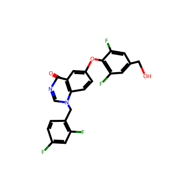 O=c1ncn(Cc2ccc(F)cc2F)c2ccc(Oc3c(F)cc(CO)cc3F)cc12